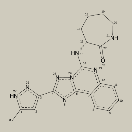 Cc1cc(-c2nc3c4ccccc4nc(N[C@@H]4CCCCNC4=O)n3n2)n[nH]1